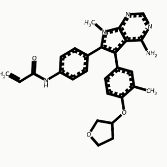 C=CC(=O)Nc1ccc(-c2c(-c3ccc(OC4CCOC4)c(C)c3)c3c(N)ncnc3n2C)cc1